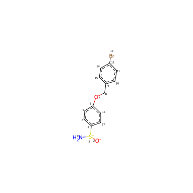 N[S+]([O-])c1ccc(OCc2ccc(Br)cc2)cc1